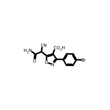 N#CC(C(N)=O)c1onc(-c2ccc(Br)cc2)c1C(=O)O